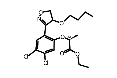 CCCCOC1CON=C1c1cc(Cl)c(Cl)cc1O[C@@H](C)C(=O)OCC